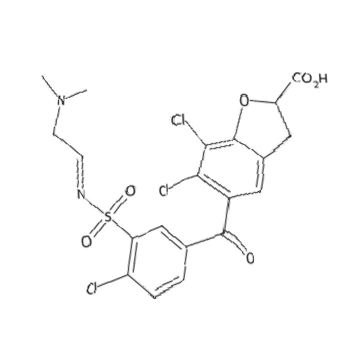 CN(C)CC=NS(=O)(=O)c1cc(C(=O)c2cc3c(c(Cl)c2Cl)OC(C(=O)O)C3)ccc1Cl